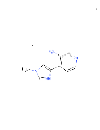 Cn1cnc(-c2ccncc2N)c1